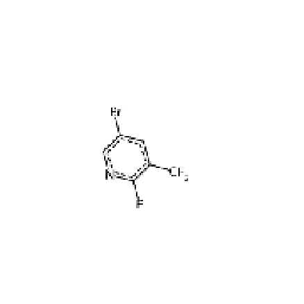 Fc1ncc(Br)cc1C(F)(F)F